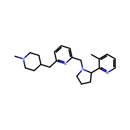 Cc1cccnc1C1CCCN1Cc1cccc(CC2CCN(C)CC2)n1